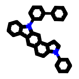 c1ccc(-c2cccc(-n3c4ccccc4c4cc5ccc6c(ccn6-c6ccccc6)c5cc43)c2)cc1